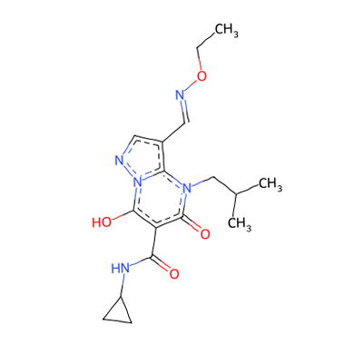 CCON=Cc1cnn2c(O)c(C(=O)NC3CC3)c(=O)n(CC(C)C)c12